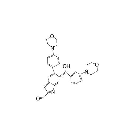 O=CC1=Nc2cc(=C(O)c3cccc(N4CCOCC4)c3)c(-c3ccc(N4CCOCC4)cc3)cc2=C1